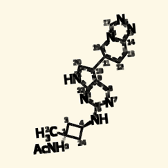 CC(=O)N[C@]1(C)C[C@@H](Nc2ncc3c(-c4ccc5nncn5c4)c[nH]c3n2)C1